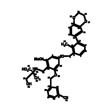 COc1cc(OCc2cccc(-c3ccc4c(c3)OCCO4)c2C)cc(OCc2cccc(C#N)c2)c1CN[C@@](C)(CO)C(=O)O